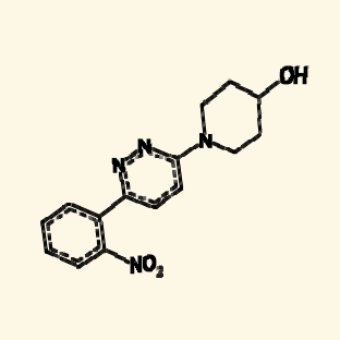 O=[N+]([O-])c1ccccc1-c1ccc(N2CCC(O)CC2)nn1